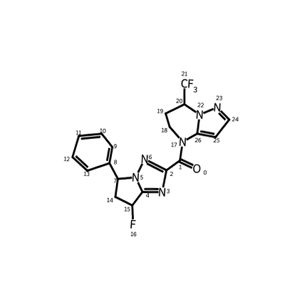 O=C(c1nc2n(n1)C(c1ccccc1)CC2F)N1CCC(C(F)(F)F)n2nccc21